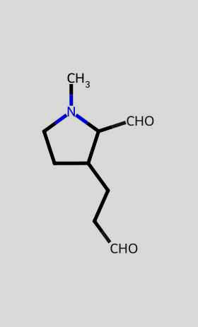 CN1CCC(CCC=O)C1C=O